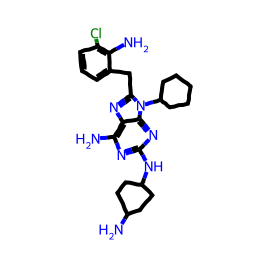 Nc1c(Cl)cccc1Cc1nc2c(N)nc(NC3CCC(N)CC3)nc2n1C1CCCCC1